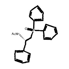 CC(=O)N[C@H](CP(=O)(c1ccccc1)c1ccccc1)c1ccccc1